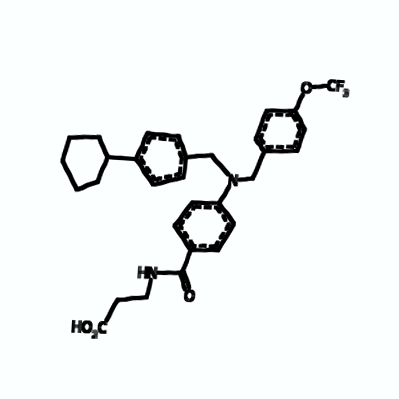 O=C(O)CCNC(=O)c1ccc(N(Cc2ccc(OC(F)(F)F)cc2)Cc2ccc(C3CCCCC3)cc2)cc1